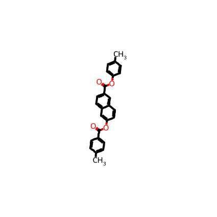 Cc1ccc(OC(=O)c2ccc3cc(OC(=O)c4ccc(C)cc4)ccc3c2)cc1